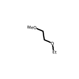 [CH2]OCCOCC